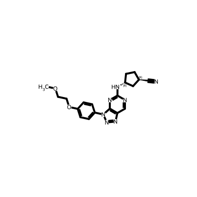 COCCOc1ccc(-n2nnc3cnc(N[C@@H]4CC[C@@H](C#N)C4)nc32)cc1